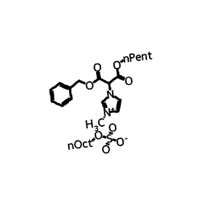 CCCCCCCCOS(=O)(=O)[O-].CCCCCOC(=O)C(C(=O)OCc1ccccc1)n1cc[n+](C)c1